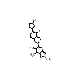 Cc1c(O)c(-c2ncc3c(=O)n(C4CCC(N)C4)ccc3n2)cc2cn(C)nc12